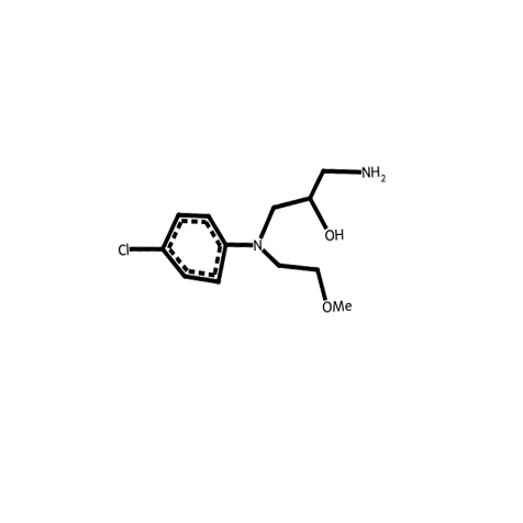 COCCN(CC(O)CN)c1ccc(Cl)cc1